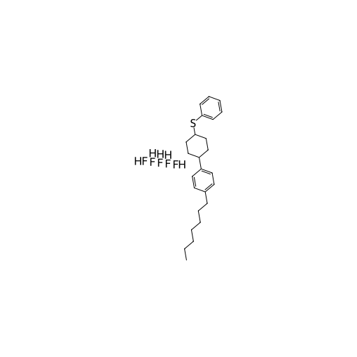 CCCCCCCc1ccc(C2CCC(Sc3ccccc3)CC2)cc1.F.F.F.F.F